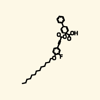 CCCCCCCCCCCCCOc1ccc(C#CC(=O)OC2(C(=O)O)C=CC(c3ccccc3)C=C2)cc1F